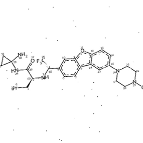 CC(C)C[C@H](N[C@@H](c1ccc2c(c1)oc1ccc(N3CCN(C)CC3)cc12)C(F)(F)F)C(=O)NC1(N)CC1